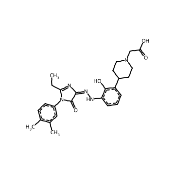 CCC1=N/C(=N/Nc2cccc(C3CCN(CC(=O)O)CC3)c2O)C(=O)N1c1ccc(C)c(C)c1